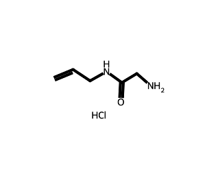 C=CCNC(=O)CN.Cl